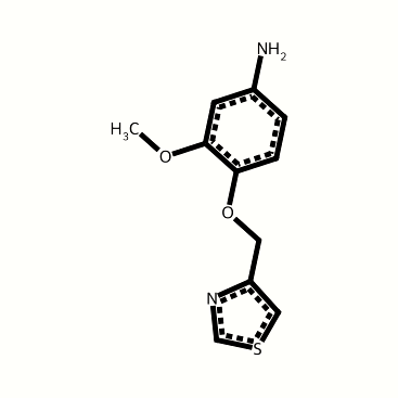 COc1cc(N)ccc1OCc1cscn1